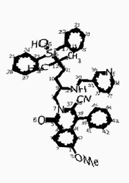 COc1ccc2c(=O)n(CC(CCC(C)(C)[Si](O)(c3ccccc3)c3ccccc3)NCc3cccnc3)c(C#N)c(-c3ccccc3)c2c1